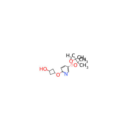 CC1(C)OB(c2ccc(O[C@H]3C[C@H](O)C3)nc2)OC1(C)C